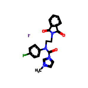 C[n+]1ccn(C(=O)N(CCN2C(=O)c3ccccc3C2=O)c2ccc(F)cc2)c1.[I-]